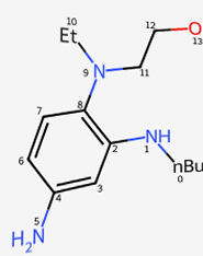 CCCCNc1cc(N)ccc1N(CC)CCO